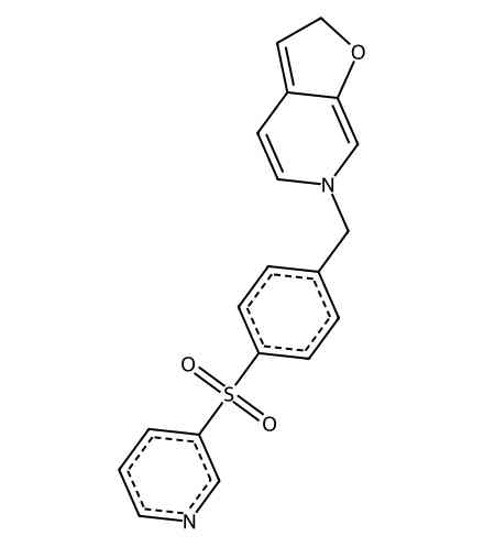 O=S(=O)(c1ccc(CN2C=CC3=CCOC3=C2)cc1)c1cccnc1